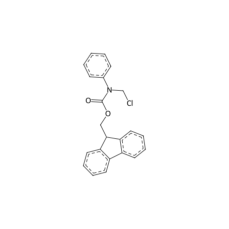 O=C(OCC1c2ccccc2-c2ccccc21)N(CCl)c1ccccc1